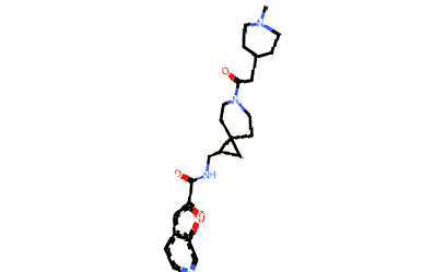 CN1CCC(CC(=O)N2CCC3(CC2)CC3CNC(=O)c2cc3ccncc3o2)CC1